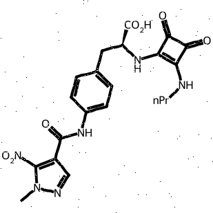 CCCNc1c(N[C@@H](Cc2ccc(NC(=O)c3cnn(C)c3[N+](=O)[O-])cc2)C(=O)O)c(=O)c1=O